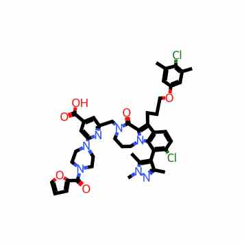 Cc1cc(OCCCc2c3n(c4c(-c5c(C)nn(C)c5C)c(Cl)ccc24)CCCN(Cc2cc(C(=O)O)cc(N4CCN(C(=O)c5ccco5)CC4)n2)C3=O)cc(C)c1Cl